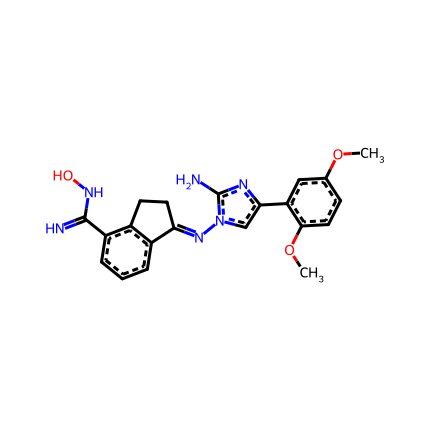 COc1ccc(OC)c(-c2cn(N=C3CCc4c(C(=N)NO)cccc43)c(N)n2)c1